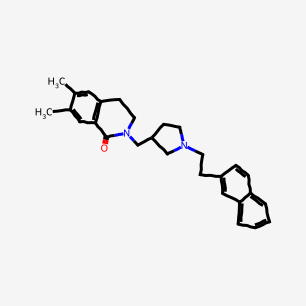 Cc1cc2c(cc1C)C(=O)N(CC1CCN(CCc3ccc4ccccc4c3)C1)CC2